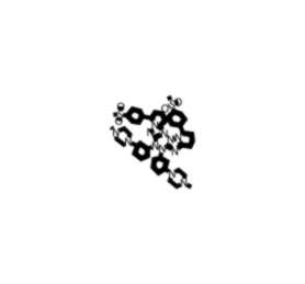 CN1CCN(c2cccc(N(c3nc4cccc(-c5ccc(S(C)(=O)=O)cc5)n4n3)N(c3cccc(N4CCN(C)CC4)c3)c3nc4cccc(-c5ccc(S(C)(=O)=O)cc5)n4n3)c2)CC1